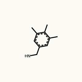 Cc1cc(C[NH])cc(C)c1C